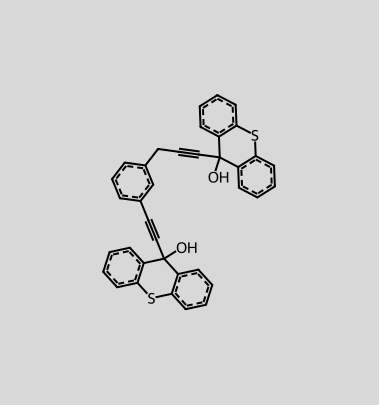 OC1(C#CCc2cccc(C#CC3(O)c4ccccc4Sc4ccccc43)c2)c2ccccc2Sc2ccccc21